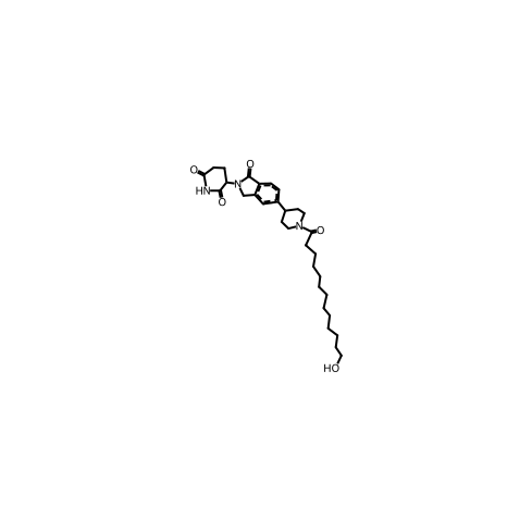 O=C1CCC(N2Cc3cc(C4CCN(C(=O)CCCCCCCCCCCCO)CC4)ccc3C2=O)C(=O)N1